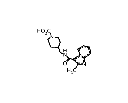 Cc1nc2ccccn2c1C(=O)NCC1CCN(C(=O)O)CC1